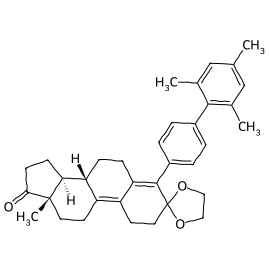 Cc1cc(C)c(-c2ccc(C3=C4CC[C@@H]5C(=C4CCC34OCCO4)CC[C@]3(C)C(=O)CC[C@@H]53)cc2)c(C)c1